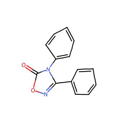 O=c1onc(-c2ccccc2)n1-c1ccccc1